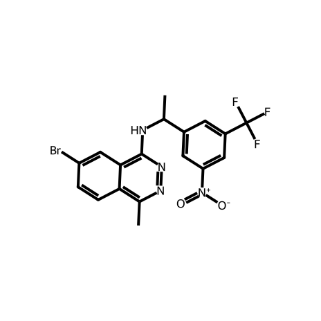 Cc1nnc(NC(C)c2cc([N+](=O)[O-])cc(C(F)(F)F)c2)c2cc(Br)ccc12